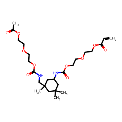 C=CC(=O)OCCOCCOC(=O)NC1CC(C)(C)CC(C)(CNC(=O)OCCOCCOC(C)=O)C1